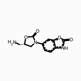 NC[C@H]1CN(c2ccc3[nH]c(=O)oc3c2)C(=O)O1